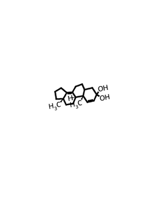 C[C@@]12CCCC1=C1CCC3CC(O)(O)C=C[C@]3(C)[C@H]1CC2